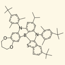 Cc1cc(C(C)(C)C)cc(C)c1N1c2cc3c(cc2B2c4sc5ccc(C(C)(C)C)cc5c4N(c4c(C)cc(C(C)(C)C)cc4C)c4cc(C(C)C)cc1c42)OCCCO3